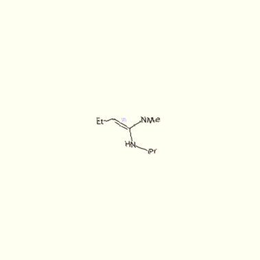 CC/C=C(/NC)NC(C)C